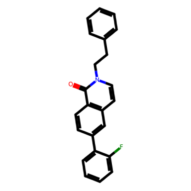 O=c1c2ccc(-c3ccccc3F)cc2ccn1CCc1ccccc1